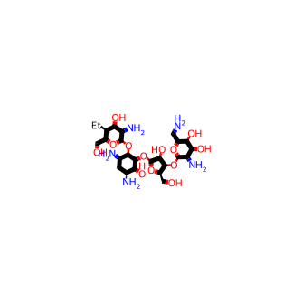 CC[C@@H]1C(CO)O[C@H](O[C@@H]2C(N)C[C@@H](N)C(O)C2O[C@@H]2O[C@H](CO)[C@H](O[C@H]3OC(CN)[C@@H](O)C(O)C3N)[C@@H]2O)C(N)C1O